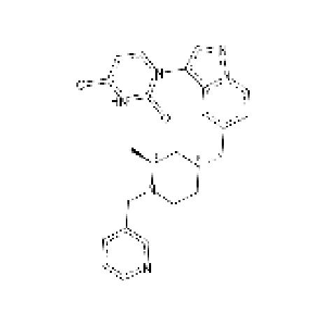 C[C@H]1C[C@H](Cc2ccn3ncc(-n4ccc(=O)[nH]c4=O)c3c2)CCN1Cc1cccnc1